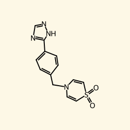 O=S1(=O)C=CN(Cc2ccc(-c3ncn[nH]3)cc2)C=C1